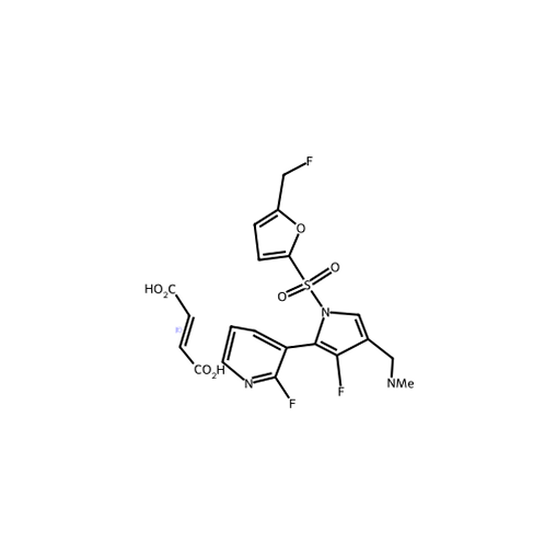 CNCc1cn(S(=O)(=O)c2ccc(CF)o2)c(-c2cccnc2F)c1F.O=C(O)/C=C/C(=O)O